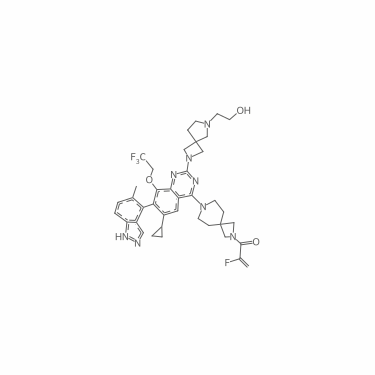 C=C(F)C(=O)N1CC2(CCN(c3nc(N4CC5(CCN(CCO)C5)C4)nc4c(OCC(F)(F)F)c(-c5c(C)ccc6[nH]ncc56)c(C5CC5)cc34)CC2)C1